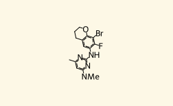 CNc1cc(C)nc(Nc2cc3c(c(Br)c2F)OCCC3)n1